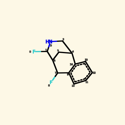 FC1NCC2CC1C(F)c1ccccc12